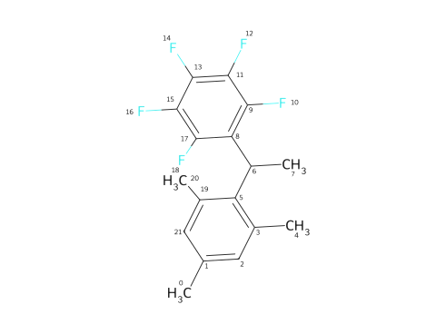 Cc1cc(C)c(C(C)c2c(F)c(F)c(F)c(F)c2F)c(C)c1